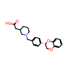 O=C(O)CC1CCCN(Cc2ccc([C@H]3COc4ccccc4O3)cc2)C1